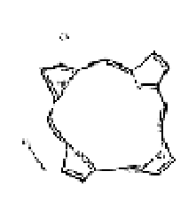 C1=Cc2cc3ccc(cc4nc(cc5ccc(cc1n2)[nH]5)C=C4)[nH]3.CO.[Cu]